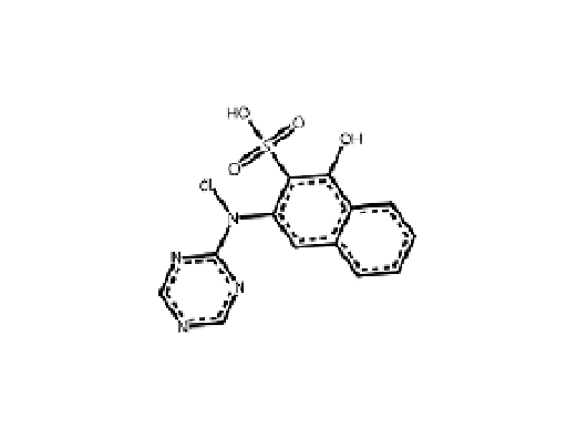 O=S(=O)(O)c1c(N(Cl)c2ncncn2)cc2ccccc2c1O